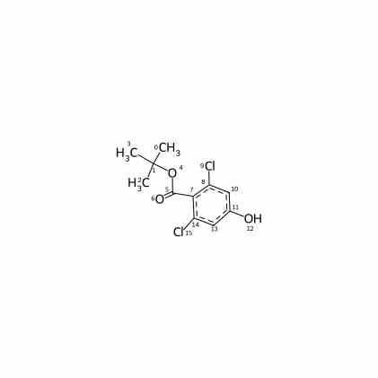 CC(C)(C)OC(=O)c1c(Cl)cc(O)cc1Cl